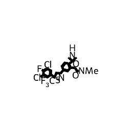 CNC(=O)C1OC2(CNC2)c2ccc(C3=NSC(c4cc(Cl)c(F)c(Cl)c4)(C(F)(F)F)C3)cc21